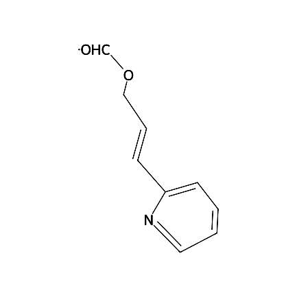 O=[C]OC/C=C/c1ccccn1